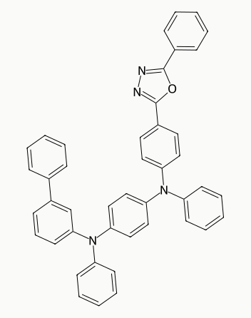 c1ccc(-c2cccc(N(c3ccccc3)c3ccc(N(c4ccccc4)c4ccc(-c5nnc(-c6ccccc6)o5)cc4)cc3)c2)cc1